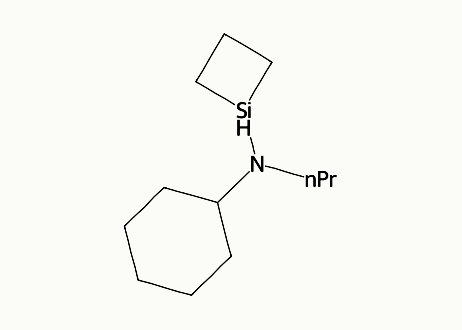 CCCN(C1CCCCC1)[SiH]1CCC1